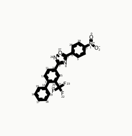 O=[N+]([O-])c1ccc(-c2nc(-c3ccc(-c4ccccc4)c(C(F)(F)F)c3)no2)cc1